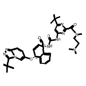 CN(C)CCN(C)C(=O)c1nc(NC(=O)N[C@@]2(C=O)C=C[C@@H](Oc3ccc4nnc(C(C)(C)C)n4c3)c3ccccc32)cc(C(C)(C)C)n1